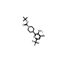 CC(C)(C)OC(=O)N1CCC(c2nc(C(F)(F)F)cc(Br)c2N)CC1